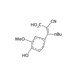 CCCCC(=C(C#N)C(=O)O)c1ccc(O)c(OC)c1